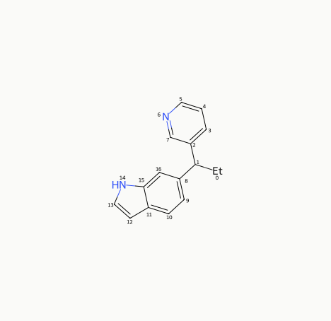 CCC(c1cccnc1)c1ccc2cc[nH]c2c1